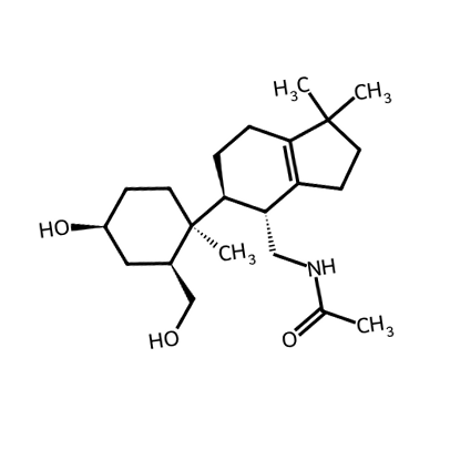 CC(=O)NC[C@H]1C2=C(CC[C@@H]1[C@]1(C)CC[C@H](O)C[C@@H]1CO)C(C)(C)CC2